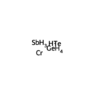 [Cr].[GeH4].[SbH3].[TeH]